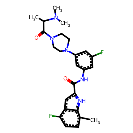 Cc1ccc(F)c2cc(C(=O)Nc3cc(F)cc(N4CCN(C(=O)C(C)N(C)C)CC4)c3)[nH]c12